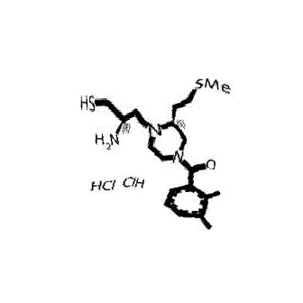 CSCC[C@H]1CN(C(=O)c2cccc(C)c2C)CCN1C[C@@H](N)CS.Cl.Cl